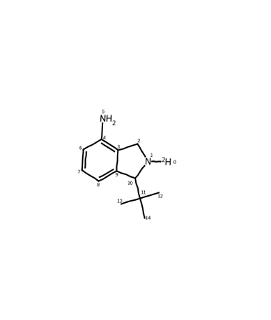 [2H]N1Cc2c(N)cccc2C1C(C)(C)C